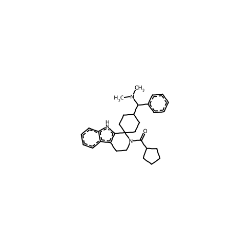 CN(C)C(c1ccccc1)C1CCC2(CC1)c1[nH]c3ccccc3c1CCN2C(=O)C1CCCC1